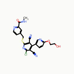 CNC(=O)c1cc(CSc2nc(Cl)c(C#N)c(-c3ccc(OCCO)nc3)c2C#N)ccn1